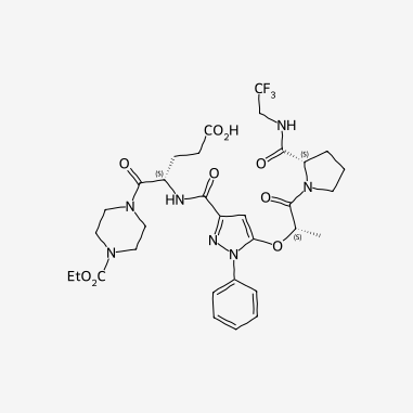 CCOC(=O)N1CCN(C(=O)[C@H](CCC(=O)O)NC(=O)c2cc(O[C@@H](C)C(=O)N3CCC[C@H]3C(=O)NCC(F)(F)F)n(-c3ccccc3)n2)CC1